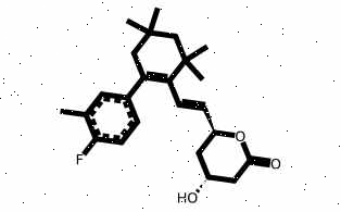 Cc1cc(C2=C(/C=C/[C@@H]3C[C@@H](O)CC(=O)O3)C(C)(C)CC(C)(C)C2)ccc1F